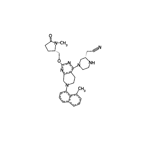 Cc1cccc2cccc(N3CCc4c(nc(OC[C@@H]5CCC(=O)N5C)nc4N4CCN[C@@H](CC#N)C4)C3)c12